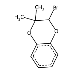 CC1(C)Oc2ccccc2OC1Br